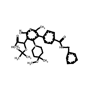 COC1(C)CCN(c2c(-c3ccc(C(=O)NCc4ccccc4)cc3)c(C)nc(C)c2C(OC(C)(C)C)C(=O)O)CC1